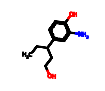 CCC(CCO)c1ccc(O)c(N)c1